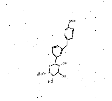 COc1ccc(Cc2cccc([C@@H]3O[C@@H](OC)[C@@H](O)[C@H](O)[C@H]3O)c2)cc1